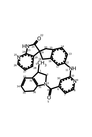 CC1CN(C(=O)c2ccnc(Nc3ccc4c(c3)CC3(C4)C(=O)Nc4ncccc43)c2)C2=C1C=CCC2